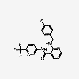 O=C(Nc1ccc(C(F)(F)F)nc1)c1cccnc1NCc1ccc(F)cc1